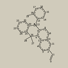 C=Cc1ccc2c3c(ccc2c1)N(c1ccccc1C)c1ccccc1C3(C)C